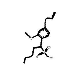 C=CCc1ccc(C(CCCC)S(=O)(=O)O)c(OC)c1